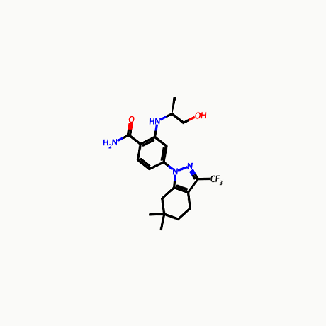 C[C@@H](CO)Nc1cc(-n2nc(C(F)(F)F)c3c2CC(C)(C)CC3)ccc1C(N)=O